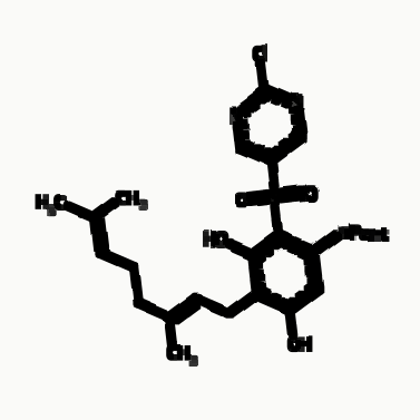 CCCCCc1cc(O)c(C/C=C(\C)CCC=C(C)C)c(O)c1S(=O)(=O)c1cnc(Cl)nc1